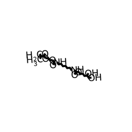 C=C(C)C(=O)OCCOC(=O)NCCCCCCCNC(=O)OCCCC(O)CO